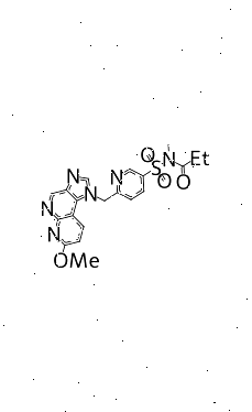 CCC(=O)N(C)S(=O)(=O)c1ccc(Cn2cnc3cnc4nc(OC)ccc4c32)nc1